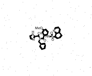 COc1ccc(NS(=O)(=O)c2cccc3cccnc23)c(C(=O)N(Cc2ccccc2)C(C)c2ncc[nH]2)c1